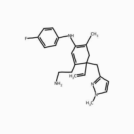 C=CC1(Cc2ccn(C)n2)CC(C)=C(Nc2ccc(F)cc2)C=C1CCN